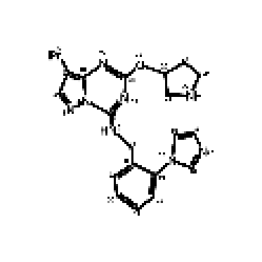 CC(C)c1cnn2c(NCc3ccccc3-n3ccnc3)nc(OC3CCNC3)nc12